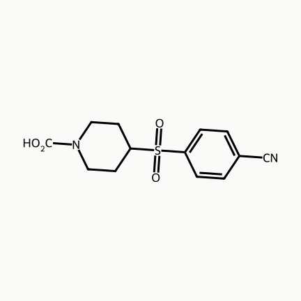 N#Cc1ccc(S(=O)(=O)C2CCN(C(=O)O)CC2)cc1